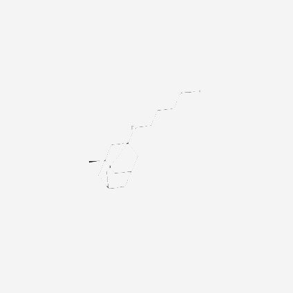 C[C@]12CC3CC(NCCCCO)(C1)C[C@@](C)(C3)C2